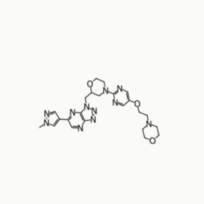 Cn1cc(-c2cnc3nnn(CC4CN(c5ncc(OCCN6CCOCC6)cn5)CCO4)c3n2)cn1